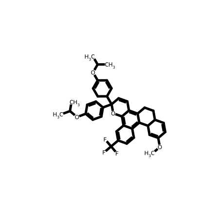 COC1=CC2c3c(c4c(c5cc(C(F)(F)F)ccc35)OC(c3ccc(OC(C)C)cc3)(C3C=CC(OC(C)C)=CC3)C=C4)CCC2C=C1